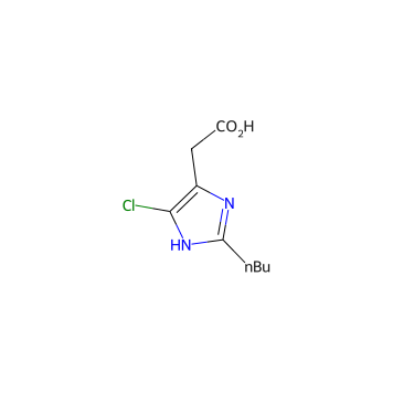 CCCCc1nc(CC(=O)O)c(Cl)[nH]1